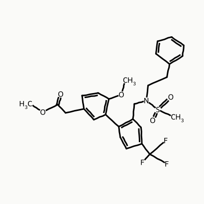 COC(=O)Cc1ccc(OC)c(-c2ccc(C(F)(F)F)cc2CN(CCc2ccccc2)S(C)(=O)=O)c1